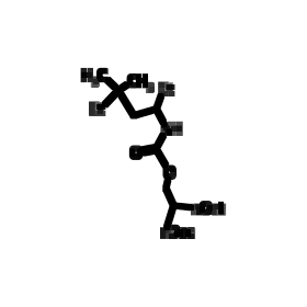 CCCCCCCCCCC(CCCCCCCC)COC(=O)NC(CC)CC(C)(C)CC